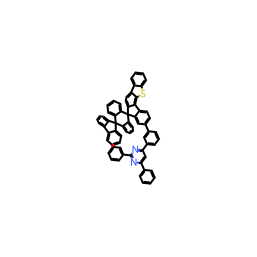 c1ccc(-c2cc(-c3cccc(-c4ccc5c(c4)C4(c6ccccc6C6(c7ccccc7-c7ccccc76)c6ccccc64)c4ccc6c(sc7ccccc76)c4-5)c3)nc(-c3ccccc3)n2)cc1